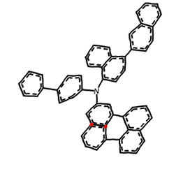 c1ccc(-c2ccc(N(c3cccc(-c4cccc5cccc(-c6ccccc6)c45)c3)c3ccc(-c4ccc5ccccc5c4)c4ccccc34)cc2)cc1